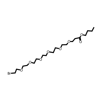 CCCCOC(=O)CCOCCOCCOCCOCCOCCOCCBr